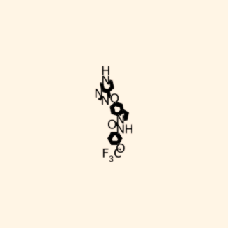 O=C(Nc1cccc(OC(F)(F)F)c1)n1ccc2cc(Oc3ncnc4c3CCNC4)ccc21